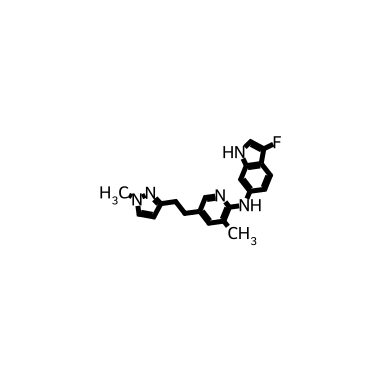 Cc1cc(CCc2ccn(C)n2)cnc1Nc1ccc2c(F)c[nH]c2c1